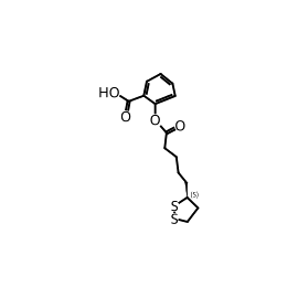 O=C(CCCC[C@H]1CCSS1)Oc1ccccc1C(=O)O